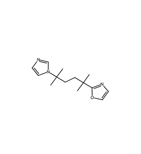 CC(C)(CCC(C)(C)n1ccnc1)c1ncco1